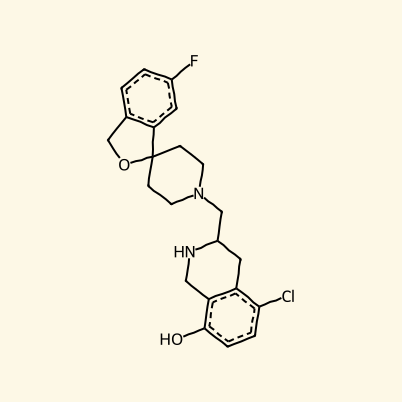 Oc1ccc(Cl)c2c1CNC(CN1CCC3(CC1)OCc1ccc(F)cc13)C2